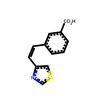 O=C(O)c1cccc(/C=C\c2cscn2)c1